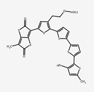 CCCCCCCCOCCc1cc(C2=C3SC(=O)C(C)=C3SC2=O)sc1-c1ccc(-c2ccc(-c3sc(C)cc3CCC)s2)s1